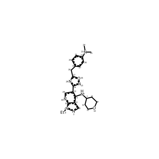 CCn1ncc2c(NC3CCOCC3)c(-c3noc(Cc4ccc(N(C)C)cc4)n3)cnc21